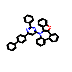 c1ccc(-c2ccc(-c3cc(N4c5ccccc5-c5ccccc5-c5oc6ccccc6c54)nc(-c4ccccc4)n3)cc2)cc1